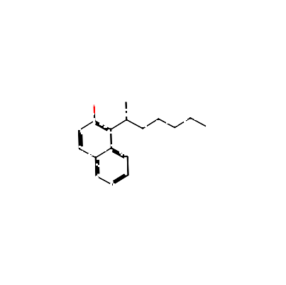 CCCCCC(C)c1c(O)ccc2ccccc12